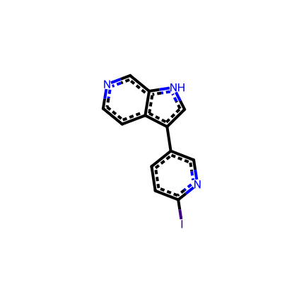 Ic1ccc(-c2c[nH]c3cnccc23)cn1